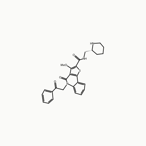 COc1c(C(=O)NC[C@H]2CCCCN2)sc2c1c(=O)n(CC(=O)c1ccccc1)c1ccccc21